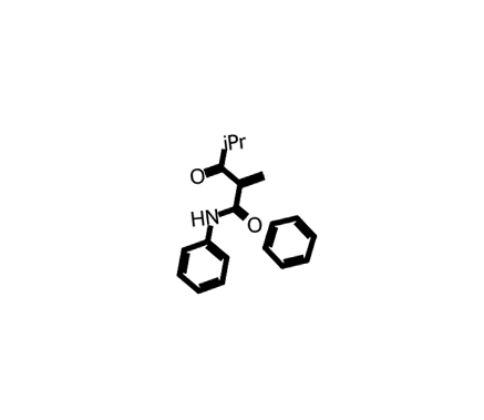 C=C(C(=O)Nc1ccccc1)C(=O)C(C)C.c1ccccc1